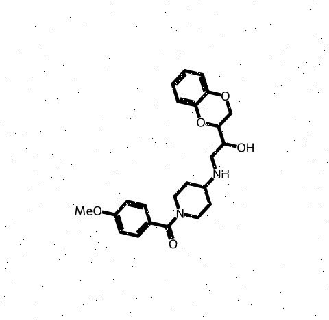 COc1ccc(C(=O)N2CCC(NCC(O)C3COc4ccccc4O3)CC2)cc1